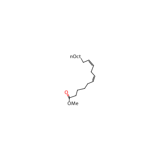 CCCCCCCCC/C=C\C/C=C\CCCCC(=O)OC